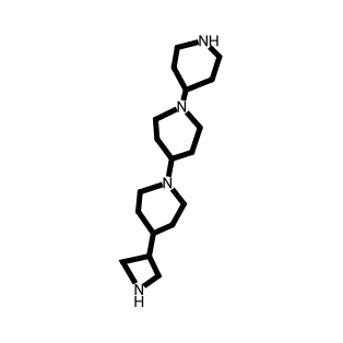 C1CC(N2CCC(N3CCC(C4CNC4)CC3)CC2)CCN1